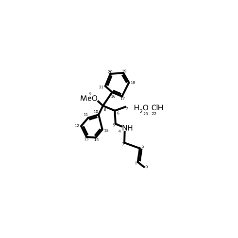 CC=CCNCC(C)C(OC)(c1ccccc1)c1ccccc1.Cl.O